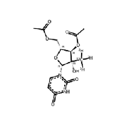 [2H][13C]([2H])([2H])[C@]1(O)[C@H](OC(C)=O)[C@@H](COC(C)=O)O[C@H]1n1ccc(=O)[nH]c1=O